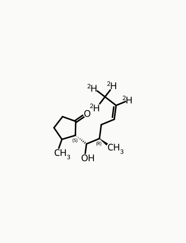 [2H]C(=CC[C@@H](C)C(O)[C@H]1C(=O)CCC1C)C([2H])([2H])[2H]